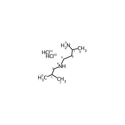 CC(C)CNCCC(C)N.Cl.Cl